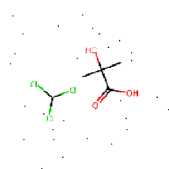 CC(C)(O)C(=O)O.ClC(Cl)Cl